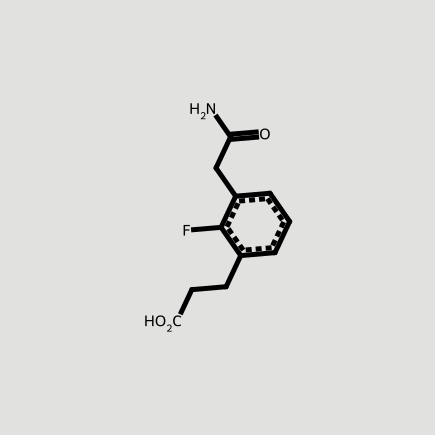 NC(=O)Cc1cccc(CCC(=O)O)c1F